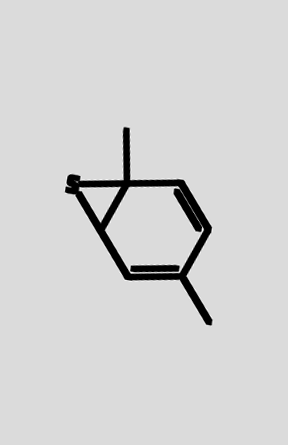 CC1=CC2SC2(C)C=C1